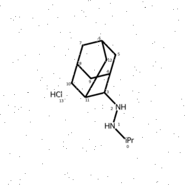 CC(C)NNC1C2CC3CC(C2)CC1C3.Cl